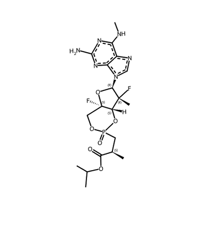 CNc1nc(N)nc2c1ncn2[C@@H]1O[C@]2(F)COP(=O)(C[C@@H](C)C(=O)OC(C)C)O[C@H]2[C@@]1(C)F